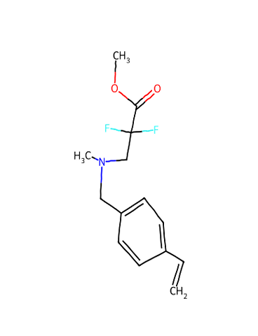 C=Cc1ccc(CN(C)CC(F)(F)C(=O)OC)cc1